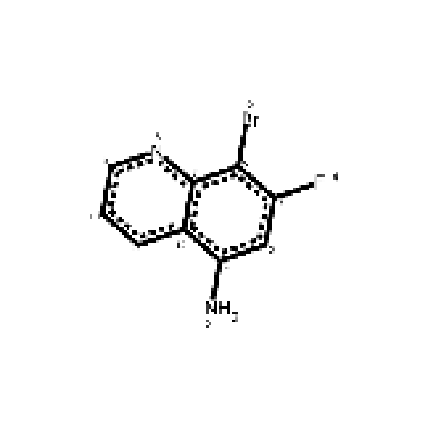 Nc1cc(F)c(Br)c2ncccc12